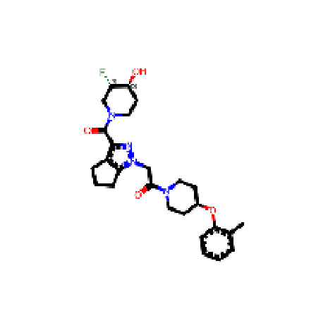 Cc1ccccc1OC1CCN(C(=O)Cn2nc(C(=O)N3CC[C@H](O)[C@@H](F)C3)c3c2CCC3)CC1